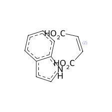 O=C(O)/C=C\C(=O)O.c1ccc2[nH]ccc2c1